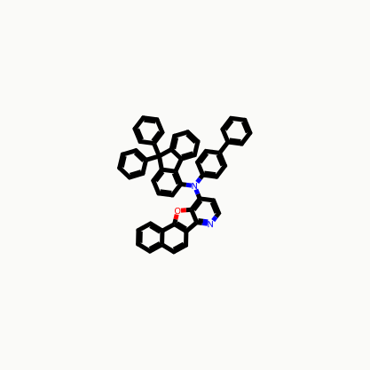 c1ccc(-c2ccc(N(c3cccc4c3-c3ccccc3C4(c3ccccc3)c3ccccc3)c3ccnc4c3oc3c5ccccc5ccc43)cc2)cc1